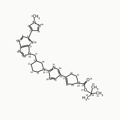 Cn1cc(-c2cnc3nnn(CC4CCCN(c5ncc(C6=CCN(C(=O)OC(C)(C)C)CC6)cn5)C4)c3n2)cn1